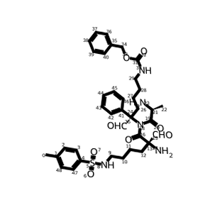 Cc1ccc(S(=O)(=O)NCCCC[C@](N)(C=O)C(=O)N(C(=O)[C@H](C)N)[C@](C=O)(CCCCNC(=O)OCc2ccccc2)c2ccccc2)cc1